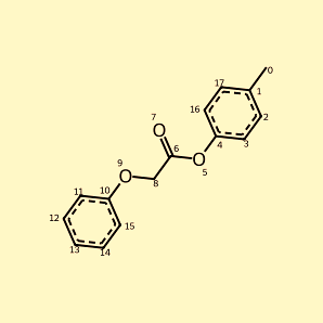 Cc1ccc(OC(=O)COc2ccccc2)cc1